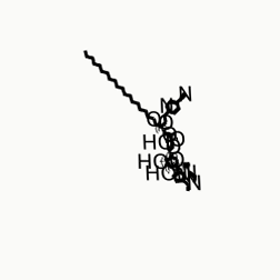 C#C[C@@]1(c2ccc3c(C)ncnn23)O[C@H](COP(=O)(O)OC[C@@H](COCCCCCCCCCCCCCCCCCC)OCc2ccc(C#N)cn2)[C@@H](O)[C@H]1O